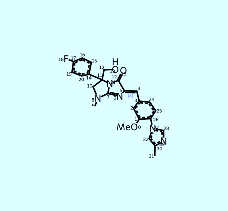 COc1cc(/C=C2\N=C3N(C)CC(CO)(c4ccc(F)cc4)N3C2=O)ccc1-n1cnc(C)c1